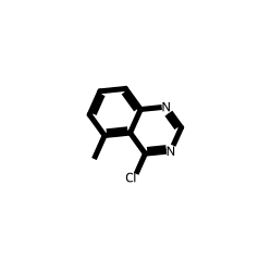 Cc1cccc2ncnc(Cl)c12